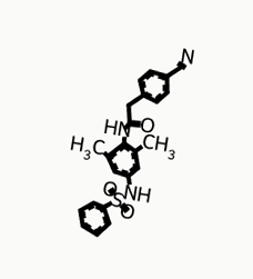 Cc1cc(NS(=O)(=O)c2ccccc2)cc(C)c1NC(=O)Cc1ccc(C#N)cc1